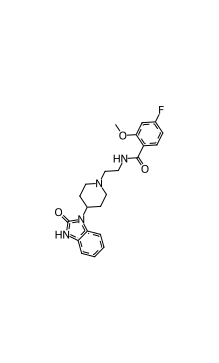 COc1cc(F)ccc1C(=O)NCCN1CCC(n2c(=O)[nH]c3ccccc32)CC1